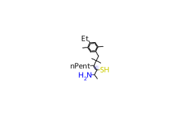 CCCCC/C(=C(/S)C(C)N)C(C)(C)Cc1cc(C)c(CC)cc1C